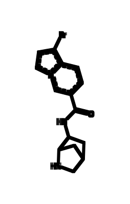 O=C(NC1CC2CNC1C2)c1ccc2c(Br)ccn2c1